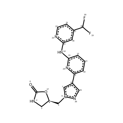 O=C1NC[C@H](Cn2cc(-c3cccc(Nc4cc(C(F)F)ccn4)n3)cn2)O1